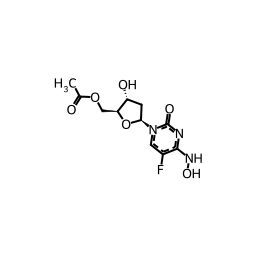 CC(=O)OC[C@@H]1O[C@H](n2cc(F)c(NO)nc2=O)C[C@H]1O